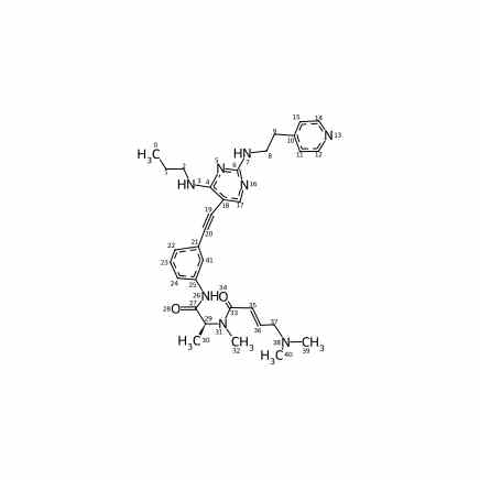 CCCNc1nc(NCCc2ccncc2)ncc1C#Cc1cccc(NC(=O)[C@H](C)N(C)C(=O)/C=C/CN(C)C)c1